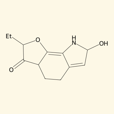 CCC1OC2=C3NC(O)C=C3CCC2C1=O